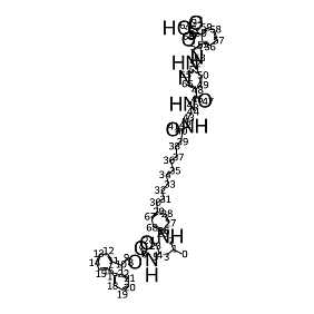 CC(C)C[C@H](NC(=O)OCC1c2ccccc2-c2ccccc21)C(=O)Nc1ccc(CCCCCCCCCCC(=O)NCCNC(=O)c2ccc(NN=Cc3ccccc3S(=O)(=O)O)nc2)cc1